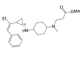 CCC(=Cc1ccccc1)C1C[C@@H]1NC1CCC(N(C)CCC(=O)OC)CC1